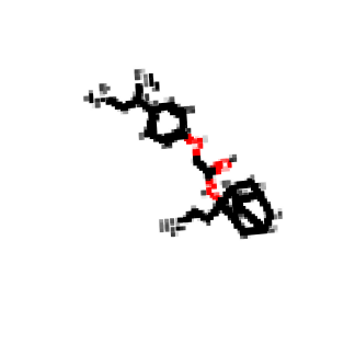 CCCC1(OC(=O)COc2ccc(C(C)CC)cc2)C2CC3CC(C2)CC1C3